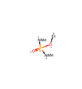 CCOP(=O)(NC)NC